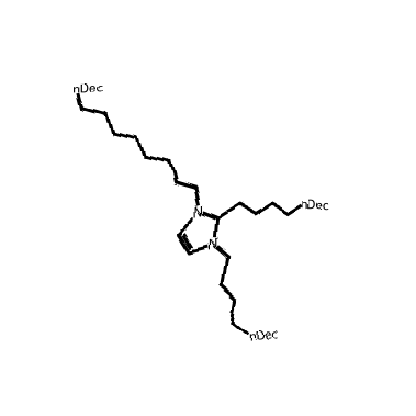 CCCCCCCCCCCCCCCCCCN1C=CN(CCCCCCCCCCCCCC)C1CCCCCCCCCCCCCC